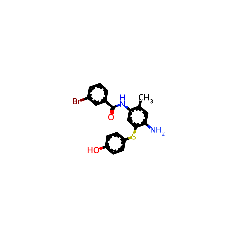 Cc1cc(N)c(Sc2ccc(O)cc2)cc1NC(=O)c1cccc(Br)c1